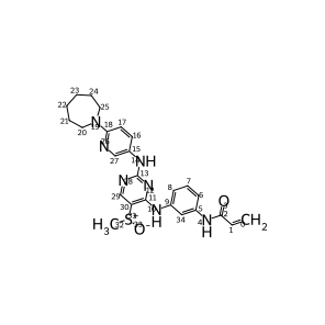 C=CC(=O)Nc1cccc(Nc2nc(Nc3ccc(N4CCCCCC4)nc3)ncc2[S+](C)[O-])c1